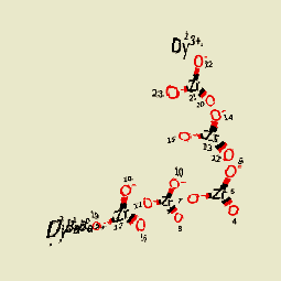 [Ba+2].[Ba+2].[Dy+3].[Dy+3].[O]=[Zr]([O-])[O-].[O]=[Zr]([O-])[O-].[O]=[Zr]([O-])[O-].[O]=[Zr]([O-])[O-].[O]=[Zr]([O-])[O-]